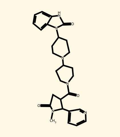 CN1C(=O)CC(C(=O)N2CCC(N3CCC(n4c(=O)[nH]c5ccccc54)CC3)CC2)C1c1cccnc1